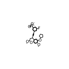 COC(=O)CC(C#Cc1cc(F)cc([N+](=O)[O-])c1)c1ccc(OC)c(OC2CCCC2)c1